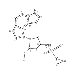 CCN1C[C@H](NS(=O)(=O)C2CC2)CC1c1nnc2cnc3[nH]ccc3n12